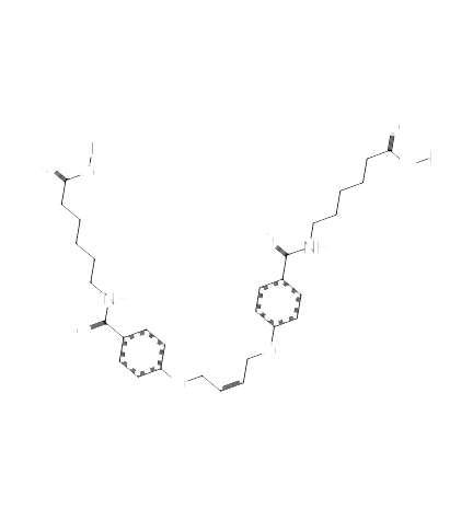 O=C(CCCCCNC(=O)c1ccc(OC/C=C\COc2ccc(C(=O)NCCCCCC(=O)OI)cc2)cc1)OI